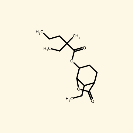 CCCC(C)(CC)C(=O)OC1CCC2C(=O)OC1C2CC